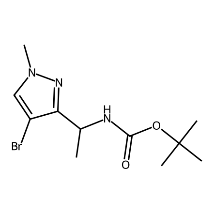 CC(NC(=O)OC(C)(C)C)c1nn(C)cc1Br